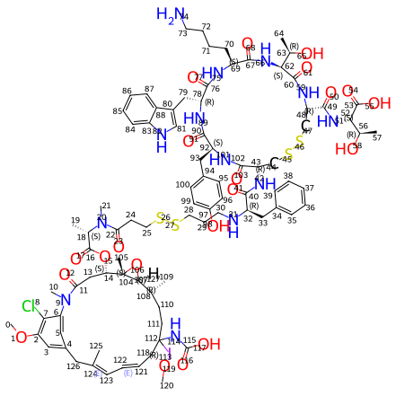 COc1cc2cc(c1Cl)N(C)C(=O)C[C@H](OC(=O)[C@H](C)N(C)C(=O)CCSSCCCN[C@H](Cc1ccccc1)C(=O)N[C@H]1CSSC[C@@H](C(=O)N[C@H](C(=O)O)[C@@H](C)O)NC(=O)[C@H]([C@@H](C)O)NC(=O)[C@H](CCCCN)NC(=O)[C@@H](Cc3c[nH]c4ccccc34)NC(=O)[C@H](Cc3ccc(O)cc3)NC1=O)[C@]1(C)O[C@H]1[C@H](C)CCC(I)(NC(=O)O)[C@H](OC)/C=C/C=C(\C)C2